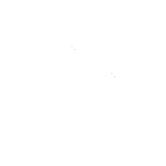 CC1CC(N(C)C2CC3(C2)CN(CC2CC4(CCC4)C2)C3)C1